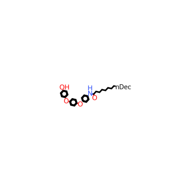 CCCCCCCCCCCCCCCCCC(=O)Nc1ccc(Oc2ccc(Oc3ccc(O)cc3)cc2)cc1